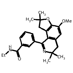 CCNC(=O)c1cccc(C2=NC(C)(C)Cc3cc(OC)c4c(c32)CC(C)(C)O4)c1